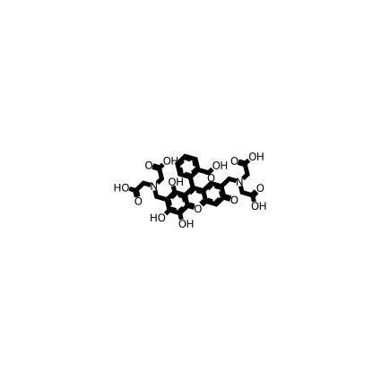 O=C(O)CN(CC(=O)O)Cc1c(O)c(O)c2oc3cc(=O)c(CN(CC(=O)O)CC(=O)O)cc-3c(-c3ccccc3C(=O)O)c2c1O